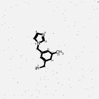 CC(C)CC1=CC(Cn2ccnc2)=CC(C)C1